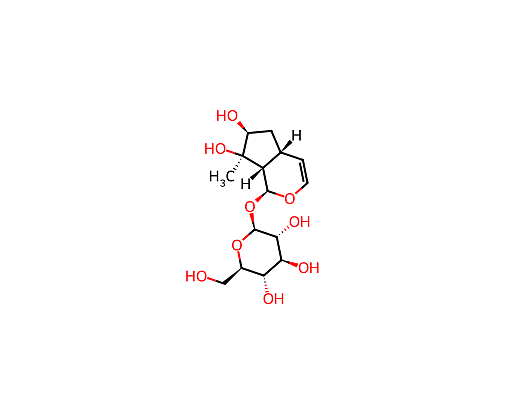 C[C@@]1(O)[C@H]2[C@H](O[C@@H]3O[C@H](CO)[C@@H](O)[C@H](O)[C@H]3O)OC=C[C@H]2C[C@@H]1O